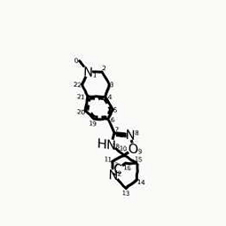 CN1CCc2cc(C3=NOC4(CN5CCC4CC5)N3)ccc2C1